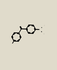 O=C(c1ccc(F)cc1)c1ccc(B(O)O)cc1